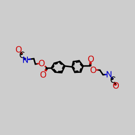 O=C=NCCOC(=O)c1ccc(-c2ccc(C(=O)OCCN=C=O)cc2)cc1